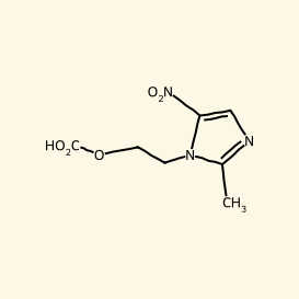 Cc1ncc([N+](=O)[O-])n1CCOC(=O)O